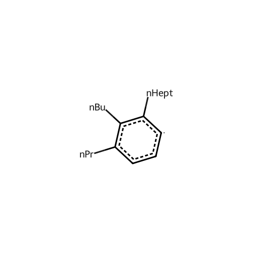 CCCCCCCc1[c]ccc(CCC)c1CCCC